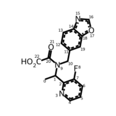 CC(c1ncccc1F)N(Cc1ccc2ncoc2c1)C(=O)C(=O)O